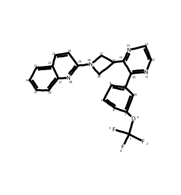 FC(F)(F)Oc1cccc(-c2nccnc2C2CN(c3ccc4ccccc4n3)C2)c1